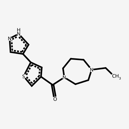 CCN1CCCN(C(=O)c2csc(-c3cn[nH]c3)c2)CC1